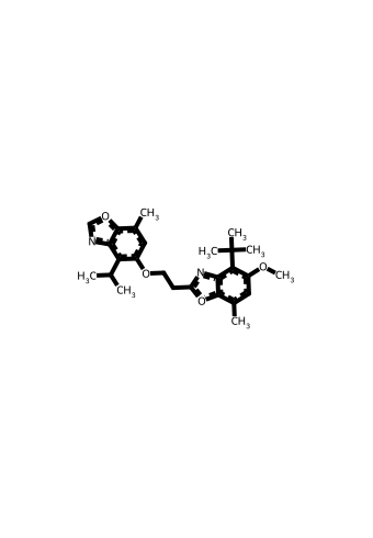 COc1cc(C)c2oc(CCOc3cc(C)c4ocnc4c3C(C)C)nc2c1C(C)(C)C